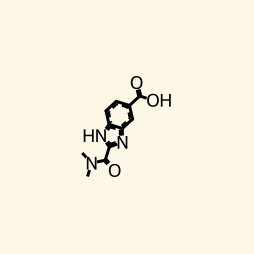 CN(C)C(=O)c1nc2cc(C(=O)O)ccc2[nH]1